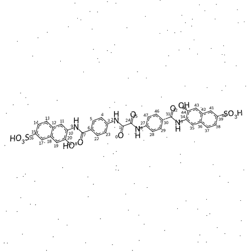 O=C(Nc1ccc(C(=O)Nc2cc3ccc(S(=O)(=O)O)cc3cc2O)cc1)C(=O)Nc1ccc(C(=O)Nc2cc3ccc(S(=O)(=O)O)cc3cc2O)cc1